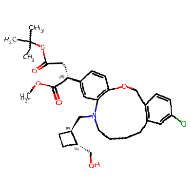 COC(=O)[C@H](CC(=O)OC(C)(C)C)c1ccc2c(c1)N(C[C@@H]1CC[C@H]1CO)CCCCc1cc(Cl)ccc1CO2